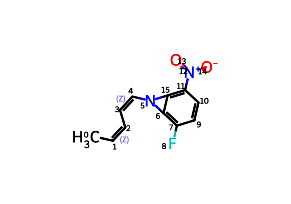 C/C=C\C=C/N1c2c(F)ccc([N+](=O)[O-])c21